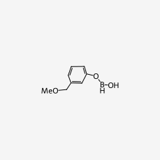 COCc1cccc(OBO)c1